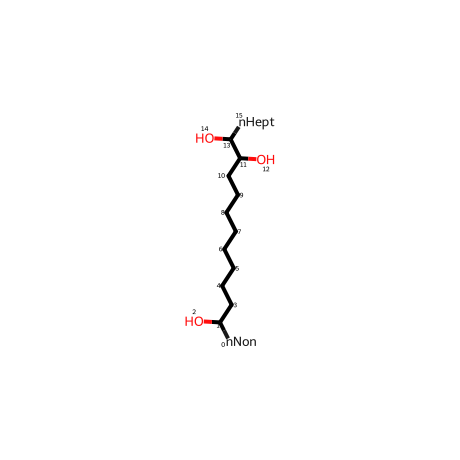 CCCCCCCCCC(O)CCCCCCCCC(O)C(O)CCCCCCC